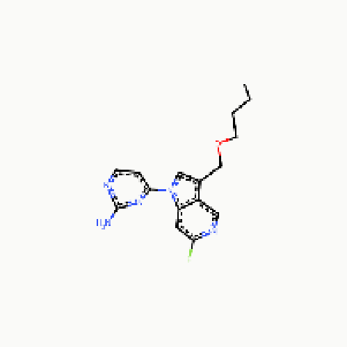 CCCCOCc1cn(-c2ccnc(N)n2)c2cc(F)ncc12